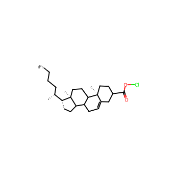 CC(C)CCC[C@@H](C)[C@H]1CCC2C3CC=C4CC(C(=O)OCl)CC[C@]4(C)C3CC[C@@]21C